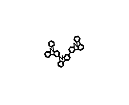 c1ccc(-n2c3ccccc3c3cc(-n4c5ccccc5c5ccc(-c6ccc7c(c6)c6cccc8c9ccccc9n7c86)cc54)ccc32)cc1